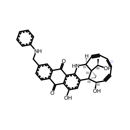 C[C@@H](O)[C@@]12C[C@]13c1cc(O)c4c(c1N[C@H]2C#C/C=C\C#C[C@H]3O)C(=O)c1cc(CNc2ccccc2)ccc1C4=O